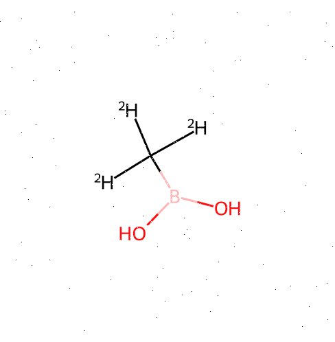 [2H]C([2H])([2H])B(O)O